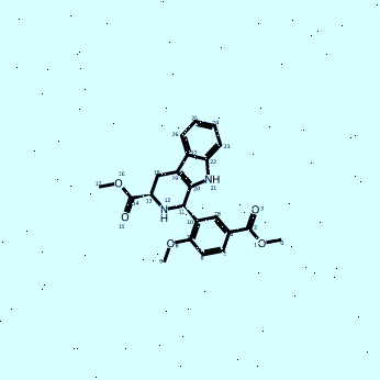 COC(=O)c1ccc(OC)c([C@H]2N[C@@H](C(=O)OC)Cc3c2[nH]c2ccccc32)c1